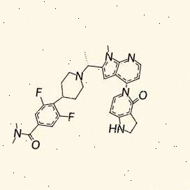 C[C@H](c1cc2c(-n3ccc4c(c3=O)CCN4)ccnc2n1C)N1CCC(c2c(F)cc(C(=O)N(C)C)cc2F)CC1